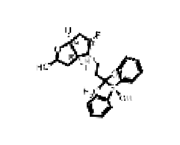 CC(C)(CC[C@@H]1[C@H]2CC(O)O[C@H]2C[C@@H]1F)[Si](O)(c1ccccc1)c1ccccc1